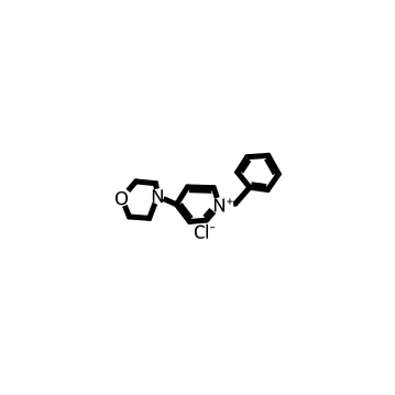 [Cl-].c1ccc(C[n+]2ccc(N3CCOCC3)cc2)cc1